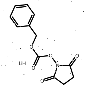 O=C(OCc1ccccc1)ON1C(=O)CCC1=O.[LiH]